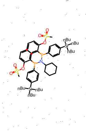 CCCC[Si](CCCC)(CCCC)c1ccc(P(c2ccccc2OS(C)(=O)=O)N(C2CCCCC2)P(c2ccc([Si](CCCC)(CCCC)CCCC)cc2)c2ccccc2OS(C)(=O)=O)cc1